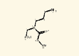 CCCCCCCCCN(CCCN)C(=O)OC(C)(C)C